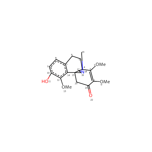 COC1=C(OC)C23CCc4ccc(O)c(OC)c4C2(CCN3C)CC1=O